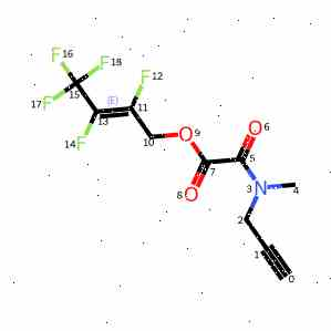 C#CCN(C)C(=O)C(=O)OC/C(F)=C(\F)C(F)(F)F